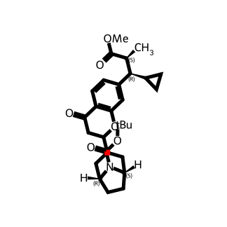 COC(=O)[C@@H](C)[C@H](c1ccc2c(c1)OC(C1C[C@H]3CC[C@@H](C1)N3C(=O)OC(C)(C)C)CC2=O)C1CC1